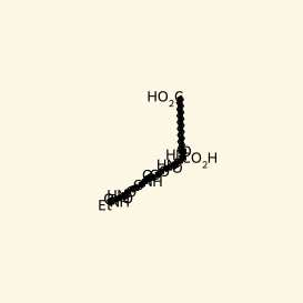 CCC(=O)NCCNC(=O)COCCOCCNC(=O)COCCOCCNC(=O)CCC(NC(=O)CCCCCCCCCCCCCCCCC(=O)O)C(=O)O